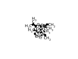 C=C[Si](C)(C)O[Si](O[Si](C)(C)C=C)(O[Si](C)(C)C=C)C(CC)OC(=O)C(=C)C